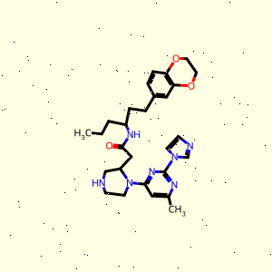 CCCC(CCc1ccc2c(c1)OCCO2)NC(=O)CC1CNCCN1c1cc(C)nc(-n2ccnc2)n1